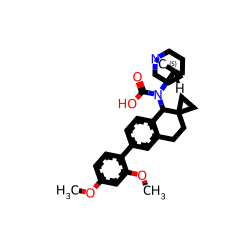 COc1ccc(-c2ccc3c(c2)CCC2(CC2)C3N(C(=O)O)[C@@H]2CN3CCC2CC3)c(OC)c1